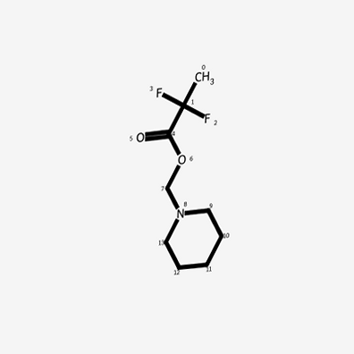 CC(F)(F)C(=O)OCN1CCCCC1